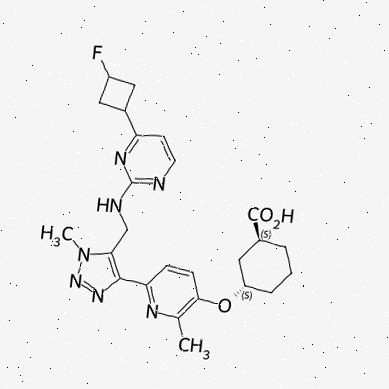 Cc1nc(-c2nnn(C)c2CNc2nccc(C3CC(F)C3)n2)ccc1O[C@H]1CCC[C@H](C(=O)O)C1